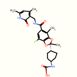 Cc1cc(C)c(CNC(=O)c2cc(F)c3c(c2C)OC(C)([C@H]2CC[C@H](NC(=O)O)CC2)O3)c(=O)[nH]1